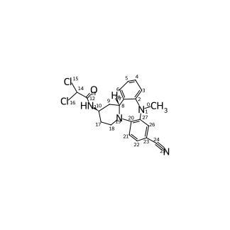 CN1c2ccccc2[C@H]2C[C@H](NC(=O)C(Cl)Cl)CCN2c2ccc(C#N)cc21